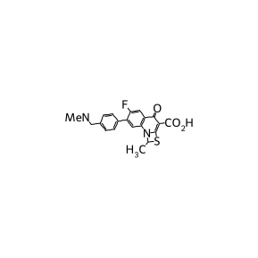 CNCc1ccc(-c2cc3c(cc2F)c(=O)c(C(=O)O)c2n3C(C)S2)cc1